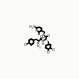 Cc1nc(N)ccc1CNC(=O)[C@H](Cc1ccc(Cl)c(Cl)c1)NC(=O)C(N)Cc1ccc(Cl)cc1